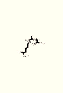 CC(N)C(=O)O.CC(N)C(=O)O.NCCCCC(N)C(=O)O